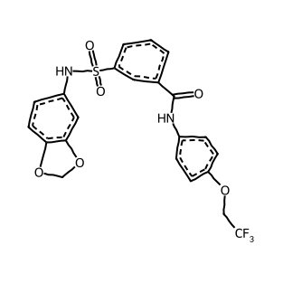 O=C(Nc1ccc(OCC(F)(F)F)cc1)c1cccc(S(=O)(=O)Nc2ccc3c(c2)OCO3)c1